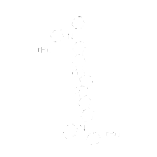 Cc1cc(C)cc(N(c2cccc(C(C)(C)C)c2)c2ccc3cc4c(cc3c2)oc2c4ccc3c4cc5ccc(N(c6cc(C)cc(C)c6)c6cccc(C(C)(C)C)c6)cc5cc4oc32)c1